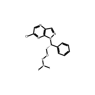 Clc1cnc2cnn([C@@H](COSP(I)I)c3ccccc3)c2n1